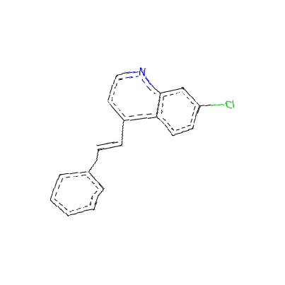 Clc1ccc2c(/C=C/c3ccccc3)ccnc2c1